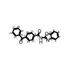 O=C(Nc1nc2ccccc2o1)c1ccc(C(=O)c2ccccc2)cc1